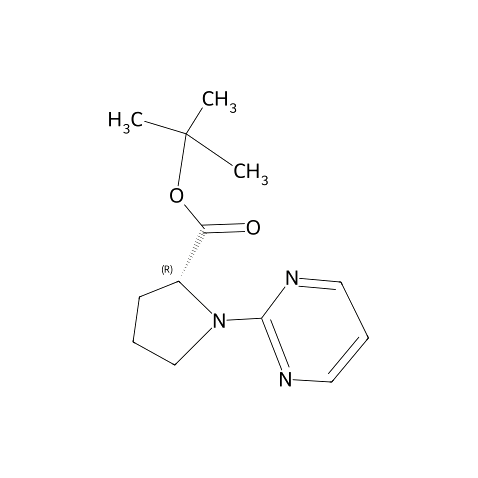 CC(C)(C)OC(=O)[C@H]1CCCN1c1ncccn1